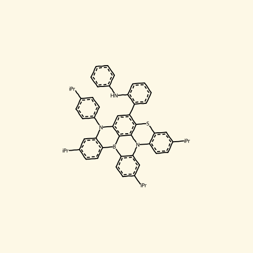 CC(C)c1ccc(N2c3cc(C(C)C)ccc3B3c4ccc(C(C)C)cc4N4c5ccc(C(C)C)cc5Sc5c(-c6ccccc6Nc6ccccc6)cc2c3c54)cc1